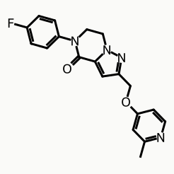 Cc1cc(OCc2cc3n(n2)CCN(c2ccc(F)cc2)C3=O)ccn1